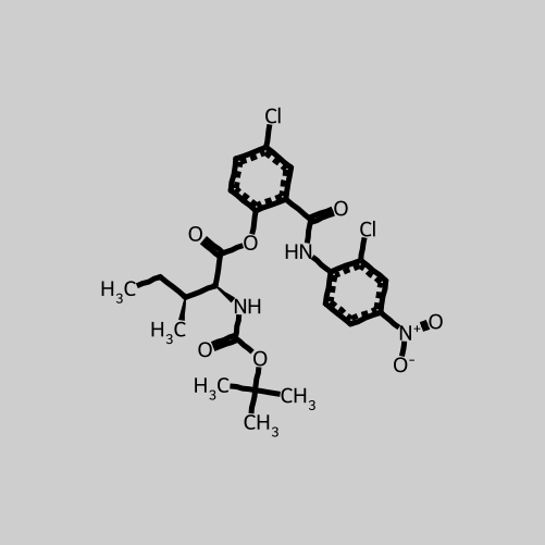 CC[C@H](C)[C@H](NC(=O)OC(C)(C)C)C(=O)Oc1ccc(Cl)cc1C(=O)Nc1ccc([N+](=O)[O-])cc1Cl